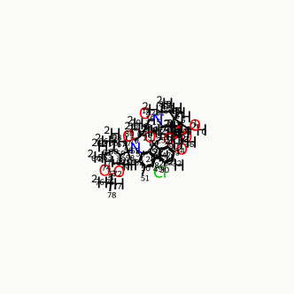 [2H]OC(=O)C([2H])([2H])C1([2H])C([2H])([2H])C([2H])([2H])N(C(=O)C([2H])([2H])[C@@]2([2H])O[C@](C)(c3c(C)c(C)c([2H])c(OC([2H])([2H])[2H])c3OC([2H])([2H])[2H])c3c([2H])c(Cl)c(C)c([2H])c3N(C(C)(C)C(C(C([2H])([2H])[2H])C([2H])([2H])[2H])C([2H])(C)OC(=O)C([2H])([2H])C)C2=O)C([2H])(C)C1([2H])[2H]